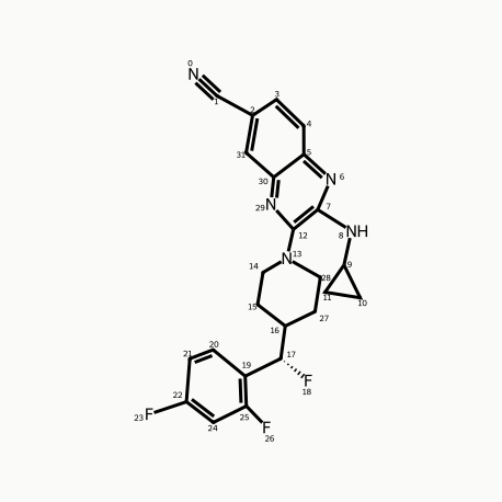 N#Cc1ccc2nc(NC3CC3)c(N3CCC([C@H](F)c4ccc(F)cc4F)CC3)nc2c1